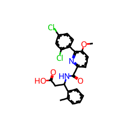 COc1ccc(C(=O)NC(CC(=O)O)c2ccccc2C)nc1-c1ccc(Cl)cc1Cl